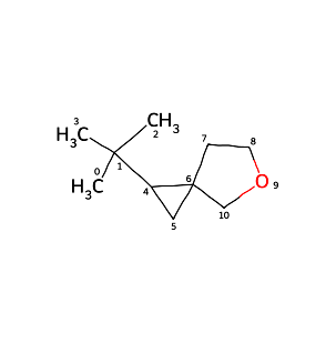 CC(C)(C)C1CC12CCOC2